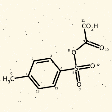 Cc1ccc(S(=O)(=O)OC(=O)C(=O)O)cc1